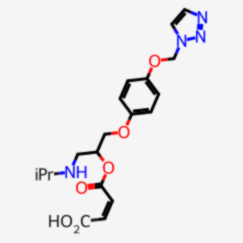 CC(C)NCC(COc1ccc(OCn2ccnn2)cc1)OC(=O)/C=C\C(=O)O